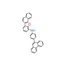 c1ccc2c(c1)cc(-c1ccc(Nc3cccc4c3oc3c5ccccc5ccc43)cc1)c1ccccc12